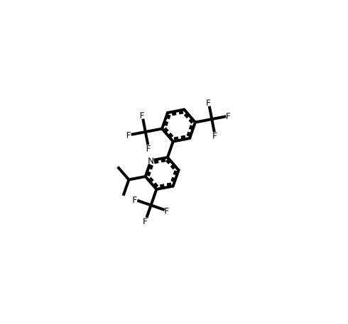 CC(C)c1nc(-c2cc(C(F)(F)F)ccc2C(F)(F)F)ccc1C(F)(F)F